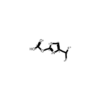 O=C(O)Oc1nc(C(F)F)cs1